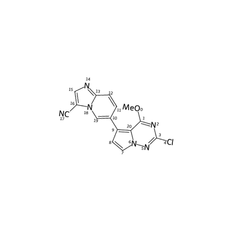 COc1nc(Cl)nn2ccc(-c3ccc4ncc(C#N)n4c3)c12